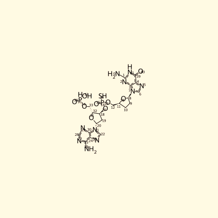 Nc1nc2c(ncn2[C@H]2CC[C@@H](COP(=O)(S)O[C@H]3C[C@H](n4cnc5c(N)ncnc54)O[C@@H]3CO[PH](=O)O)O2)c(=O)[nH]1